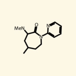 CNC1CC(C)CCN(c2ccccn2)C1=O